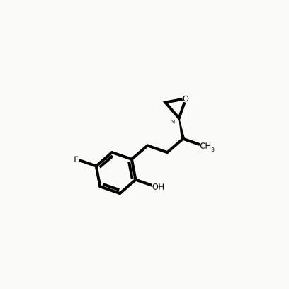 CC(CCc1cc(F)ccc1O)[C@H]1CO1